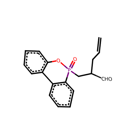 C=CCC(C=O)CP1(=O)Oc2ccccc2-c2ccccc21